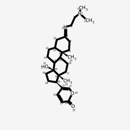 CN(C)CC/N=C1\CC[C@@]2(C)C(CCC3C2CC[C@]2(C)[C@@H](c4ccc(=O)oc4)CC[C@]32O)C1